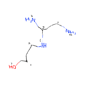 NCC(N)NCCO